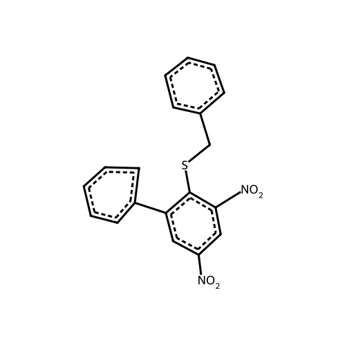 O=[N+]([O-])c1cc(-c2ccccc2)c(SCc2ccccc2)c([N+](=O)[O-])c1